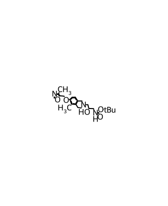 Cc1ncoc1COc1ccc2c(c1C)CCN(CC(O)CNC(=O)OC(C)(C)C)C2